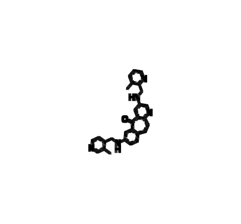 Cc1cnccc1CNc1ccc2ccc3ncc(NCc4ncccc4C)cc3c(=O)c2c1